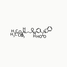 CC(C)(C)OC(=O)NCCCC(=O)Nc1cccc([C@@H](C(=O)O)N2Cc3ccccc3C2)c1